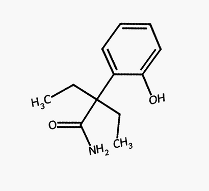 CCC(CC)(C(N)=O)c1ccccc1O